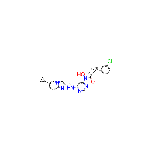 O=C([C@H]1C[C@@H]1c1cccc(Cl)c1)N(O)c1cc(NCc2cn3cc(C4CC4)ccc3n2)ncn1